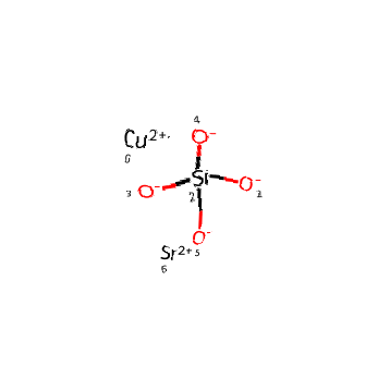 [Cu+2].[O-][Si]([O-])([O-])[O-].[Sr+2]